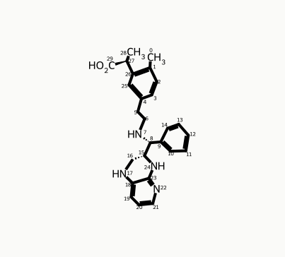 Cc1ccc(CCN[C@H](c2ccccc2)[C@H]2CNc3cccnc3N2)cc1[C@H](C)C(=O)O